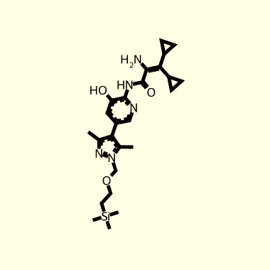 Cc1nn(COCC[Si](C)(C)C)c(C)c1-c1cnc(NC(=O)C(N)=C(C2CC2)C2CC2)c(O)c1